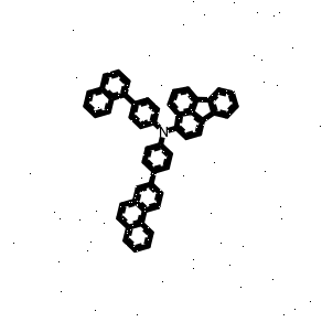 c1ccc2c(c1)-c1cccc3c(N(c4ccc(-c5ccc6c(ccc7ccccc76)c5)cc4)c4ccc(-c5cccc6ccccc56)cc4)ccc-2c13